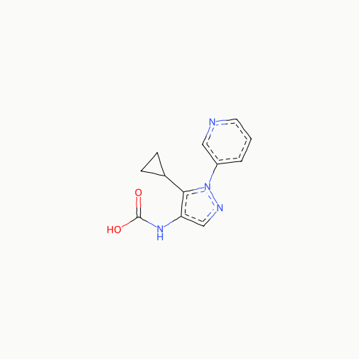 O=C(O)Nc1cnn(-c2cccnc2)c1C1CC1